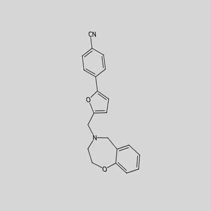 N#Cc1ccc(-c2ccc(CN3CCOc4ccccc4C3)o2)cc1